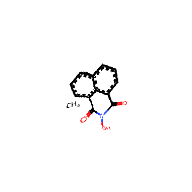 C.O=C1c2cccc3cccc(c23)C(=O)N1O